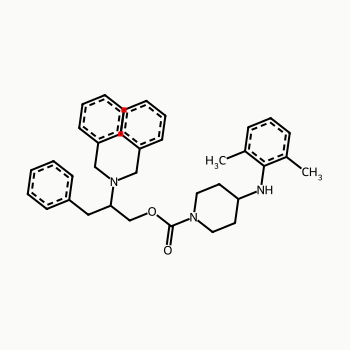 Cc1cccc(C)c1NC1CCN(C(=O)OCC(Cc2ccccc2)N(Cc2ccccc2)Cc2ccccc2)CC1